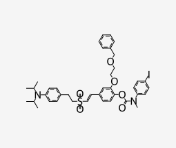 CC(C)N(c1ccc(CCS(=O)(=O)/C=C/c2ccc(OC(=O)N(C)c3ccc(I)cc3)c(OCCOCc3ccccc3)c2)cc1)C(C)C